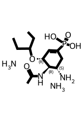 CCC(CC)O[C@@H]1C=C(P(=O)(O)O)C[C@H](N)[C@H]1NC(C)=O.N.N